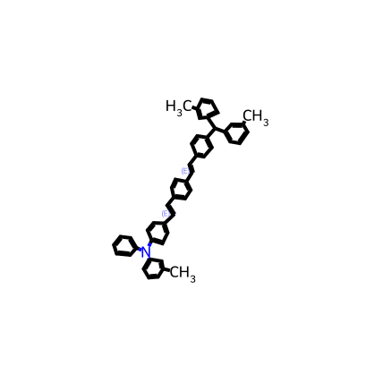 Cc1cccc(C(c2ccc(/C=C/c3ccc(/C=C/c4ccc(N(c5ccccc5)c5cccc(C)c5)cc4)cc3)cc2)c2cccc(C)c2)c1